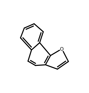 c1ccc2c(c1)ccc1ccoc12